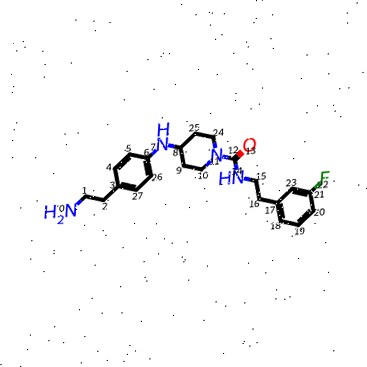 NCCc1ccc(NC2CCN(C(=O)NCCc3cccc(F)c3)CC2)cc1